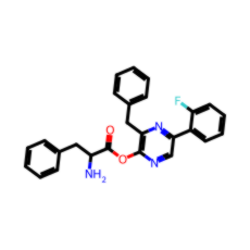 NC(Cc1ccccc1)C(=O)Oc1ncc(-c2ccccc2F)nc1Cc1ccccc1